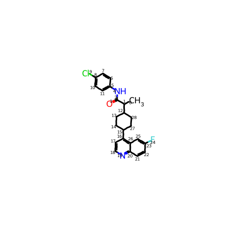 CC(C(=O)Nc1ccc(Cl)cc1)C1CCC(c2ccnc3ccc(F)cc23)CC1